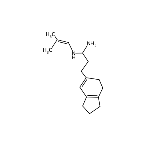 CC(C)=CNC(N)CCC1=CC2=C(CCC2)CC1